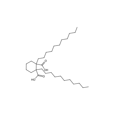 CCCCCCCCCCCC1(C(=O)O)CCCCC1(CCCCCCCCCCC)C(=O)O